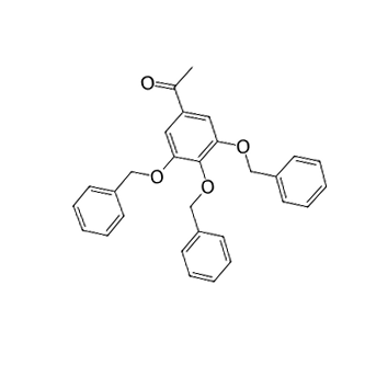 CC(=O)c1cc(OCc2ccccc2)c(OCc2ccccc2)c(OCc2ccccc2)c1